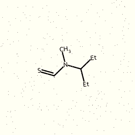 CCC(CC)N(C)[C]=S